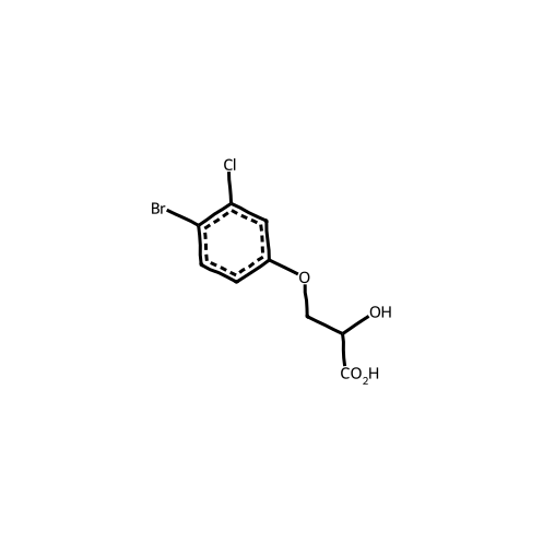 O=C(O)C(O)COc1ccc(Br)c(Cl)c1